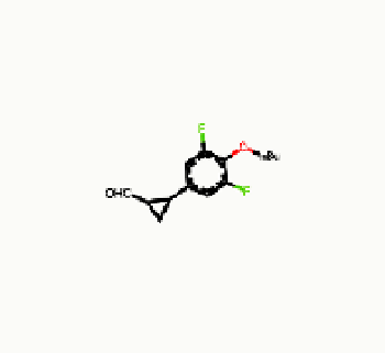 CCCCOc1c(F)cc(C2CC2C=O)cc1F